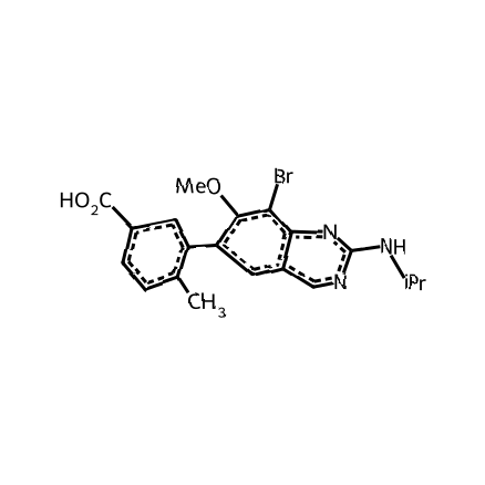 COc1c(-c2cc(C(=O)O)ccc2C)cc2cnc(NC(C)C)nc2c1Br